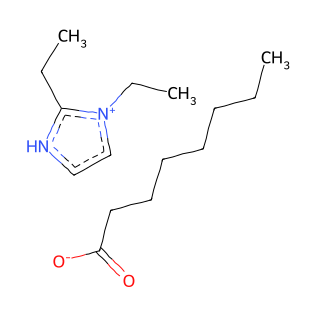 CCCCCCCC(=O)[O-].CCc1[nH]cc[n+]1CC